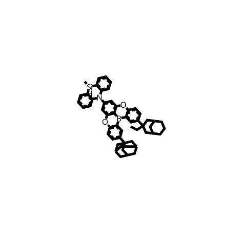 CCC1(c2ccc3c(c2)B2c4cc(C56CC7CC(CC(C7)C5)C6)ccc4Oc4cc(N5c6ccccc6[SiH](C)c6ccccc65)cc(c42)O3)CC2CCCC(C2)C1